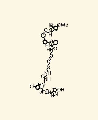 CCOc1cc(OC)ccc1CNCC(=O)N1CCCC(c2cccc(C(=O)N[C@@H](C(=O)NCCOCCOCCOCCNCC(=O)NCCNC[C@@H](C(=O)N3CCN(c4ncnc5c4[C@H](C)C[C@H]5O)CC3)c3ccc(Cl)cc3)C3CCCCC3)c2)C1